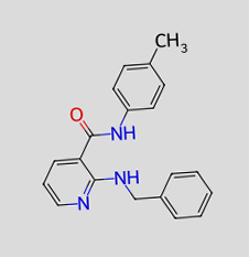 Cc1ccc(NC(=O)c2cccnc2NCc2ccccc2)cc1